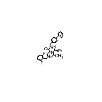 CC(C)C(=O)N1C(C)CN(Cc2c(F)cccc2F)CC1C(=O)NCc1ccc(-c2ccco2)cc1